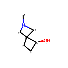 CN1CC2(CC[C@@H]2O)C1